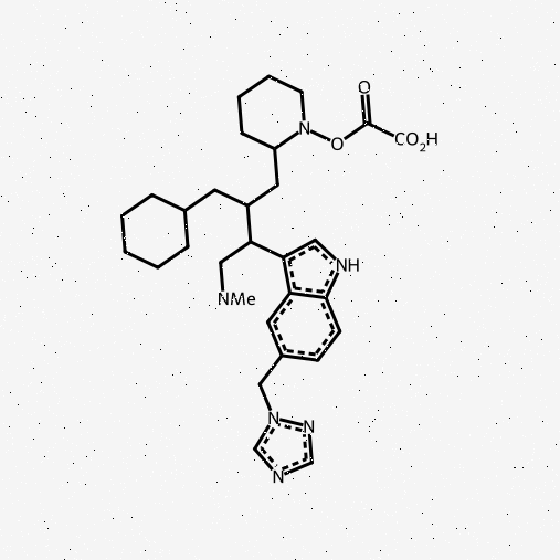 CNCC(c1c[nH]c2ccc(Cn3cncn3)cc12)C(CC1CCCCC1)CC1CCCCN1OC(=O)C(=O)O